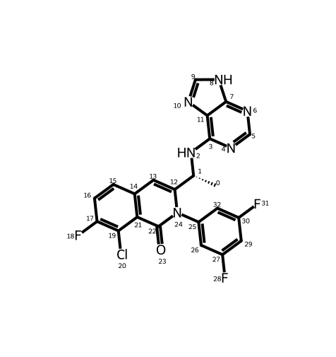 C[C@@H](Nc1ncnc2[nH]cnc12)c1cc2ccc(F)c(Cl)c2c(=O)n1-c1cc(F)cc(F)c1